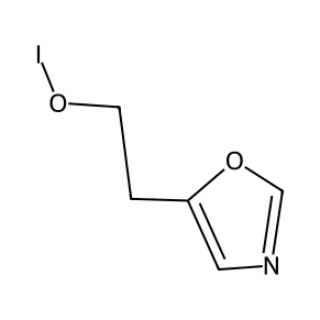 IOCCc1cnco1